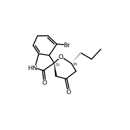 CCC[C@@H]1CC(=O)C[C@@]2(O1)C(=O)NC1=CCC=C(Br)C12